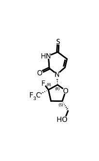 O=c1[nH]c(=S)ccn1[C@@H]1O[C@H](CO)C[C@]1(F)C(F)(F)F